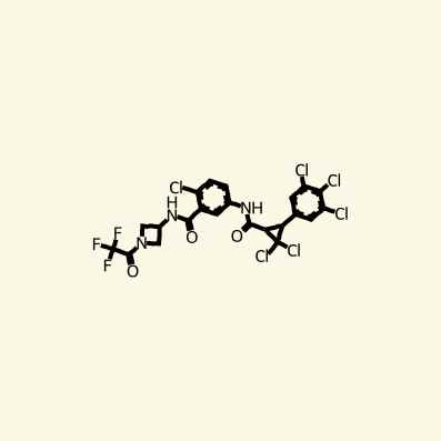 O=C(NC1CN(C(=O)C(F)(F)F)C1)c1cc(NC(=O)C2C(c3cc(Cl)c(Cl)c(Cl)c3)C2(Cl)Cl)ccc1Cl